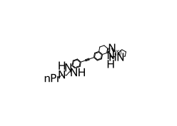 CCCNCc1nc2ccc(C#Cc3ccc4c(c3)CCc3nc([C@@H]5CCCN5)[nH]c3-4)cc2[nH]1